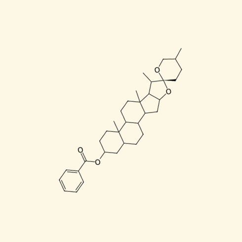 CC1CC[C@@]2(OC1)OC1CC3C4CCC5CC(OC(=O)c6ccccc6)CCC5(C)C4CCC3(C)C1C2C